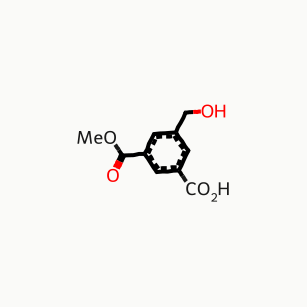 COC(=O)c1cc(CO)cc(C(=O)O)c1